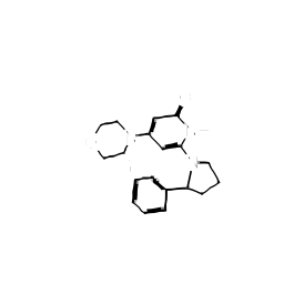 C[C@@H]1COCCN1c1cc(N2CCCC2c2ccccc2)[nH]c(=O)c1